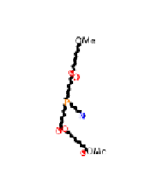 COCCCCCCCCCOC(=O)CCCCCCCP(CCCCCCCC(=O)OCCCCCCCCC(=O)OC)CCCCCN(C)C